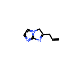 C=CCC1=Nc2nccn2C1